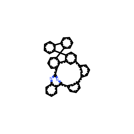 c1ccc2c(c1)-c1ccccc1C21c2ccc3cc2c2c1cccc2c1nc2ccccc2c(n1)c1cccc(c1)c1cccc3c1